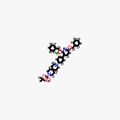 CC(C)(C)OC(=O)N1CCC2(CC1)CCN(c1ccc(-c3ccc(OCc4ccccc4)nc3OCc3ccccc3)c(F)c1)CC2